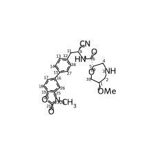 CO[C@@H]1CNC[C@@H](C(=O)N[C@H](C#N)Cc2ccc(-c3ccc4oc(=O)n(C)c4c3)cc2)OC1